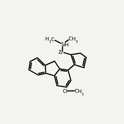 CCl.C[SiH](C)[Zr][C]1=C(c2cccc3c2Cc2ccccc2-3)C=CC1